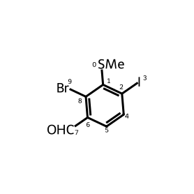 CSc1c(I)ccc(C=O)c1Br